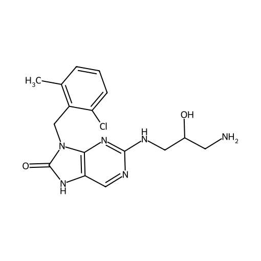 Cc1cccc(Cl)c1Cn1c(=O)[nH]c2cnc(NCC(O)CN)nc21